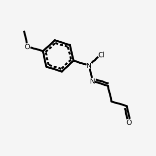 COc1ccc(N(Cl)N=CCC=O)cc1